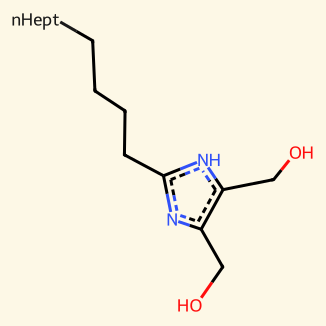 CCCCCCCCCCCc1nc(CO)c(CO)[nH]1